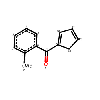 CC(=O)Oc1ccccc1C(=O)C1=CC=CC1